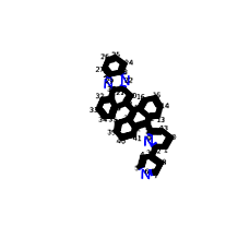 c1cc(-c2ccncc2)nc(-c2c3ccccc3c(-c3cc4nc5ccccc5nc4c4ccccc34)c3ccccc23)c1